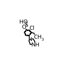 CCc1c(N2CCNCC2)ccc(OSO)c1Cl